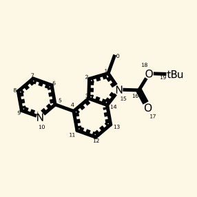 Cc1cc2c(-c3ccccn3)cccc2n1C(=O)OC(C)(C)C